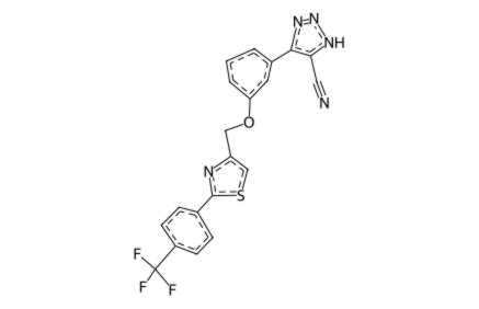 N#Cc1[nH]nnc1-c1cccc(OCc2csc(-c3ccc(C(F)(F)F)cc3)n2)c1